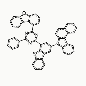 c1ccc(-c2nc(-c3cc(-n4c5ccccc5c5c6ccccc6ccc54)cc4c3sc3ccccc34)nc(-c3cccc4oc5ccccc5c34)n2)cc1